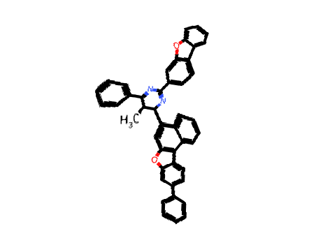 CC1C(c2ccccc2)=NC(c2ccc3c(c2)oc2ccccc23)=NC1c1cc2oc3cc(-c4ccccc4)ccc3c2c2ccccc12